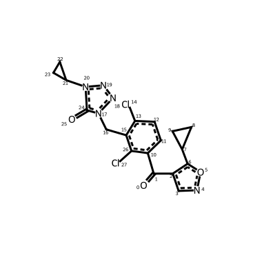 O=C(c1cnoc1C1CC1)c1ccc(Cl)c(Cn2nnn(C3CC3)c2=O)c1Cl